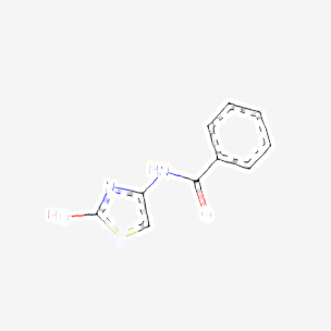 O=C(Nc1csc(O)n1)c1ccccc1